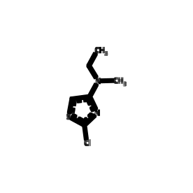 CCN(C)c1csc(Cl)n1